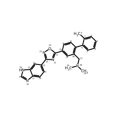 Cc1ccccc1-c1ccc(-c2nc(-c3ccc4nc[nH]c4c3)no2)cc1CN(C)C